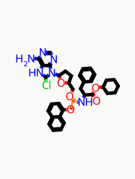 Nc1ncnc2c1NC(Cl)N2C1CCC(COP(NC(Cc2ccccc2)C(=O)OC2CCCCC2)Oc2cccc3ccccc23)O1